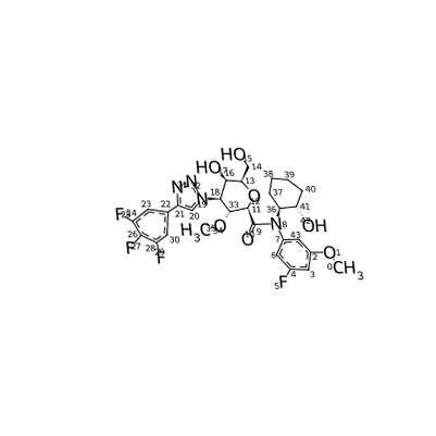 COc1cc(F)cc(N(C(=O)[C@@H]2O[C@H](CO)[C@H](O)[C@H](n3cc(-c4cc(F)c(F)c(F)c4)nn3)[C@H]2OC)[C@H]2CCCC[C@@H]2O)c1